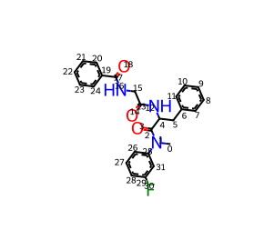 CN(C(=O)C(Cc1ccccc1)NC(=O)CNC(=O)c1ccccc1)c1cccc(F)c1